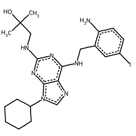 CC(C)(O)CNc1nc(NCc2cc(I)ccc2N)c2ncn(C3CCCCC3)c2n1